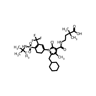 Cc1c(C(=O)NCCC(C)(C)C(=O)O)c(Cl)n(C2=CC(C(F)(F)F)=C(S(=O)(=O)NC(C)(C)C)CC2)c1CC1CCCCC1